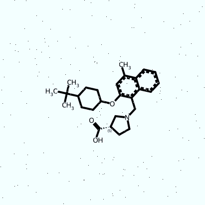 Cc1cc(OC2CCC(C(C)(C)C)CC2)c(CN2CC[C@H](C(=O)O)C2)c2ccccc12